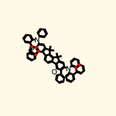 CC1(C)c2cc(N(c3ccccc3)c3ccccc3-c3ccccc3)c3c(oc4ccccc43)c2-c2ccc3c(c21)C(C)(C)c1cc(N(c2ccccc2)c2ccccc2-c2ccccc2)c2oc4ccccc4c2c1-3